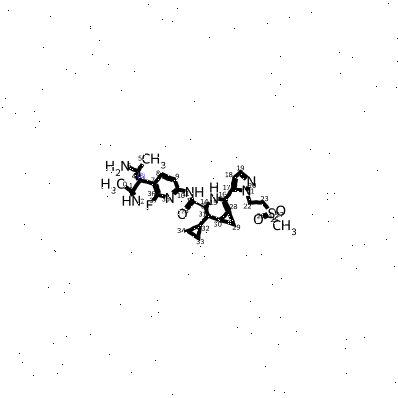 CC(=N)/C(=C(/C)N)c1ccc(NC(=O)[C@H]2NC(c3ccnn3CCS(C)(=O)=O)=C3CC3C2C2CC2)nc1F